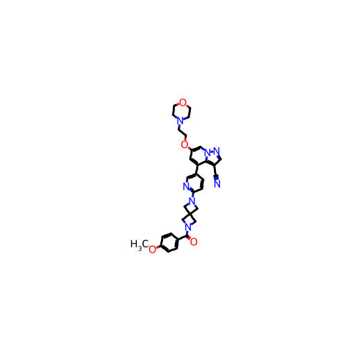 COc1ccc(C(=O)N2CC3(C2)CN(c2ccc(-c4cc(OCCN5CCOCC5)cn5ncc(C#N)c45)cn2)C3)cc1